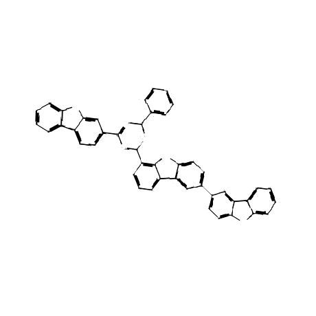 c1ccc(C2N=C(c3ccc4c(c3)oc3ccccc34)NC(c3cccc4c3oc3ccc(-c5ccc6oc7ccccc7c6c5)cc34)N2)cc1